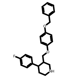 Fc1ccc(C2CCNCC2COc2ccc(OCc3ccccc3)cc2)cc1